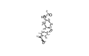 CC(=O)Nc1ccc(Oc2ccc([S+](C)[O-])cc2)cc1